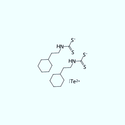 S=C([S-])NCCC1CCCCC1.S=C([S-])NCCC1CCCCC1.[Te+2]